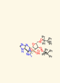 CC(C)[SiH](C(C)C)[Si](OOC[C@H]1O[C@@H](c2nc(N)c3[nH]cnc3n2)[C@](O)(S(=O)(=O)C(F)(F)F)[C@@H]1OO[Si](C(C)C)(C(C)C)[SiH](C(C)C)C(C)C)(C(C)C)C(C)C